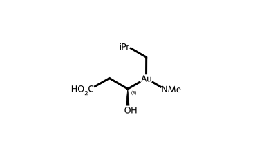 C[NH][Au]([CH2]C(C)C)[C@@H](O)CC(=O)O